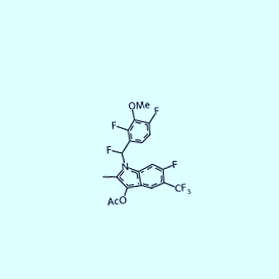 COc1c(F)ccc(C(F)n2c(C)c(OC(C)=O)c3cc(C(F)(F)F)c(F)cc32)c1F